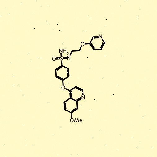 COc1ccc2c(Oc3ccc(S(N)(=O)=NCCOc4cccnc4)cc3)ccnc2c1